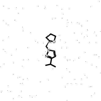 CC(C)c1ccn(C[C@H]2CCCO2)n1